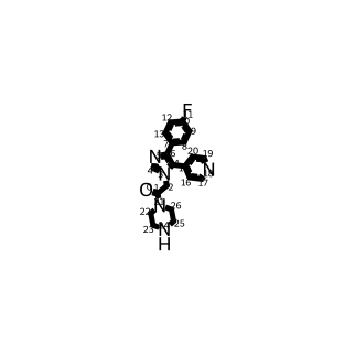 O=C(Cn1cnc(-c2ccc(F)cc2)c1-c1ccncc1)N1CCNCC1